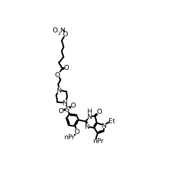 CCCOc1ccc(S(=O)(=O)N2CCN(CCOC(=O)CCCCCO[N+](=O)[O-])CC2)cc1-c1nc2c(CCC)cn(CC)c2c(=O)[nH]1